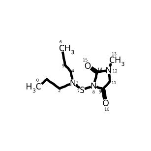 CCCN(CCC)SN1C(=O)CN(C)C1=O